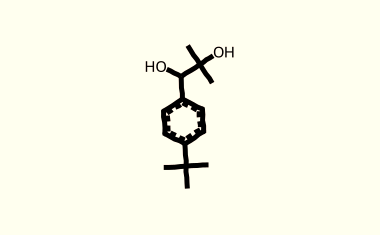 CC(C)(C)c1ccc(C(O)C(C)(C)O)cc1